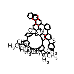 CC(C)(C)c1cc2cc(c1)C(C)(C)C(C)(C)c1cc(cc(C(C)(C)C)c1)-c1ccc3c(c1)B1c4cc-2ccc4Oc2cc(-c4ccccc4)cc(c21)N3c1c(-c2ccc3c(c2)sc2ccccc23)cccc1-c1ccc2c(c1)sc1ccccc12